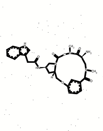 CN1C[C@H](N)C(=O)N(C)CC(=O)N2C[C@H](NC(=O)Cc3c[nH]c4ccccc34)C[C@H]2COc2cccc(c2)C1=O